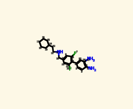 Nc1ccc(-c2c(F)cc(CNCCC3CCCCC3)cc2F)cc1N